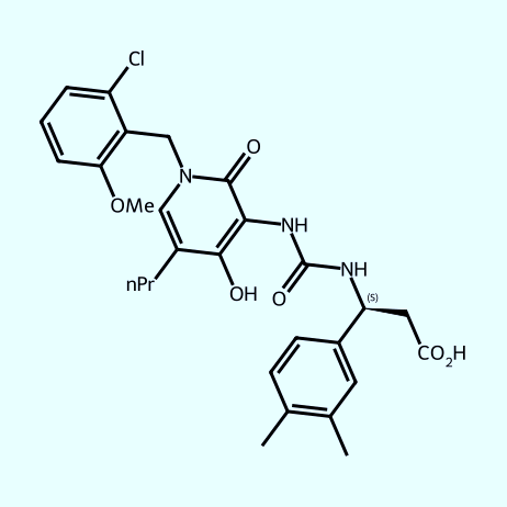 CCCc1cn(Cc2c(Cl)cccc2OC)c(=O)c(NC(=O)N[C@@H](CC(=O)O)c2ccc(C)c(C)c2)c1O